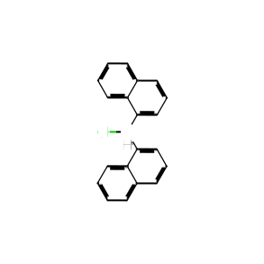 Cl[SiH](c1cccc2ccccc12)c1cccc2ccccc12